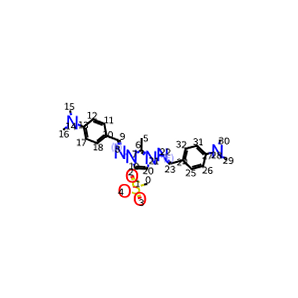 CS(=O)(=O)[O-].Cc1n(/N=C/c2ccc(N(C)C)cc2)cc[n+]1/N=C/c1ccc(N(C)C)cc1